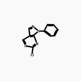 Clc1ncc2cnn(-c3ccccc3)c2n1